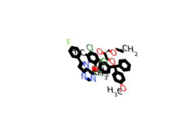 C=CCOC[C@H](COC(c1ccccc1)(c1ccc(OC)cc1)c1ccc(OC)cc1)Oc1c(Cl)c(C)c(-n2c(-c3ccc(F)cc3)cc3ncnc(Cl)c32)c(C)c1Cl